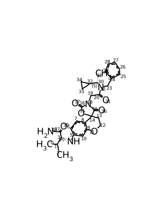 CC(C)[C@@H](Nc1ccc2c(c1)OCCC21OC(=O)N(CC(=O)N(Cc2ccccc2)[C@@H](C)C2CC2)C1=O)C(N)=O